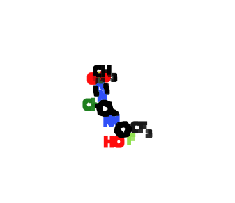 CS(=O)(=O)N1CCN(c2cc3cn(-c4cc(O)c(F)c(C(F)(F)F)c4)nc3cc2Cl)CC1